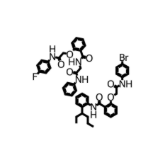 CCCC(CC)c1ccccc1NC(=O)c1ccccc1OCC(=O)Nc1ccc(Br)cc1.O=C(CNC(=O)c1ccccc1OCC(=O)Nc1ccc(F)cc1)Nc1ccccc1